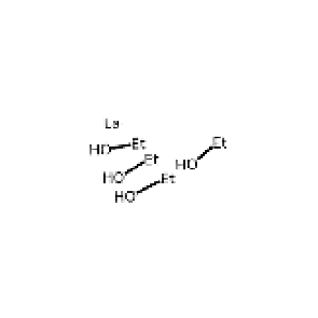 CCO.CCO.CCO.CCO.[La]